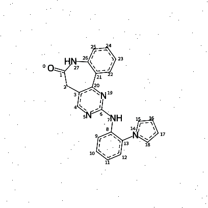 O=C1Cc2cnc(Nc3ccccc3-n3cccc3)nc2-c2ccccc2N1